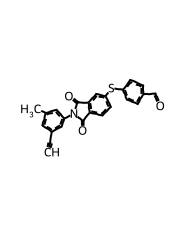 C#Cc1cc(C)cc(N2C(=O)c3ccc(Sc4ccc(C=O)cc4)cc3C2=O)c1